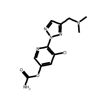 CN(C)Cc1cnn(-c2ncc(OC(N)=O)cc2Cl)n1